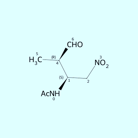 CC(=O)N[C@H](C[N+](=O)[O-])[C@@H](C)C=O